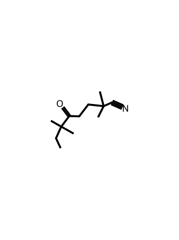 CCC(C)(C)C(=O)CCC(C)(C)C#N